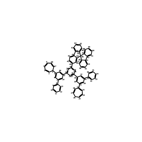 C1=CC=CC(c2cc(-c3ccccc3)cc(-c3nc(-c4cc(C5=CC=CCC=C5)cc(-c5ccccc5)c4)nc(-c4ccc5c(c4)C4(c6ccccc6-c6ccccc64)c4ccccc4-5)n3)c2)C=C1